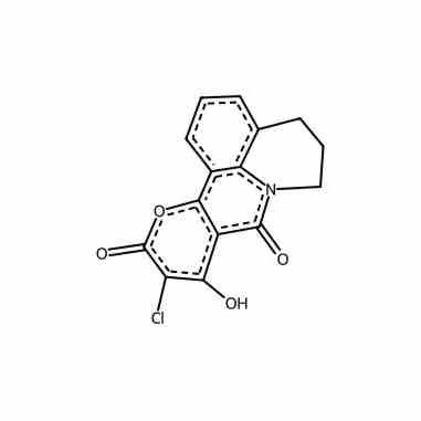 O=c1oc2c(c(O)c1Cl)c(=O)n1c3c(cccc23)CCC1